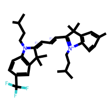 Cc1ccc2c(c1)C(C)(C)C(/C=C/C=C1/N(CCC(C)C)c3ccc(C(F)(F)F)cc3C1(C)C)=[N+]2CCC(C)C